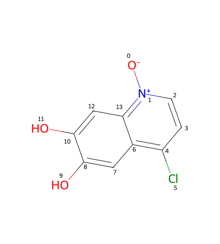 [O-][n+]1ccc(Cl)c2cc(O)c(O)cc21